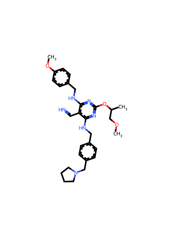 COCC(C)Oc1nc(NCc2ccc(CN3CCCC3)cc2)c(C=N)c(NCc2ccc(OC)cc2)n1